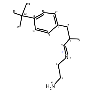 CC(/C=N/CCN)Cc1ccc(C(C)(C)C)cc1